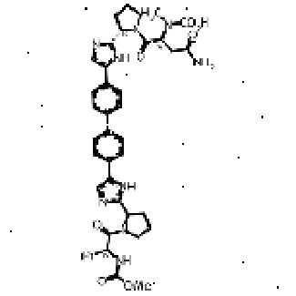 COC(=O)N[C@H](C(=O)N1CCCC1c1ncc(-c2ccc(-c3ccc(-c4cnc([C@@H]5CCCN5C(=O)[C@H](CC(N)=O)N(C)C(=O)O)[nH]4)cc3)cc2)[nH]1)C(C)C